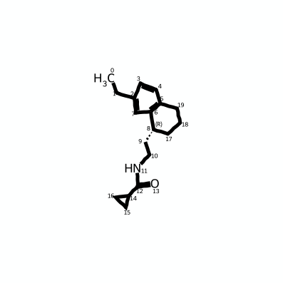 CCc1ccc2c(c1)[C@@H](CCNC(=O)C1CC1)CCC2